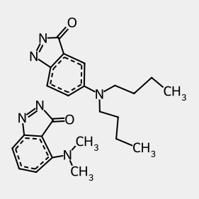 CCCCN(CCCC)c1ccc2c(c1)C(=O)N=N2.CN(C)c1cccc2c1C(=O)N=N2